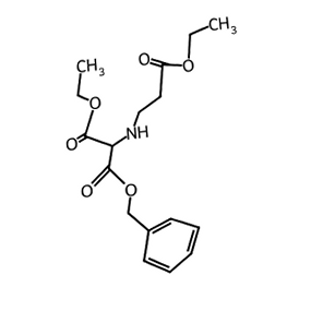 CCOC(=O)CCNC(C(=O)OCC)C(=O)OCc1ccccc1